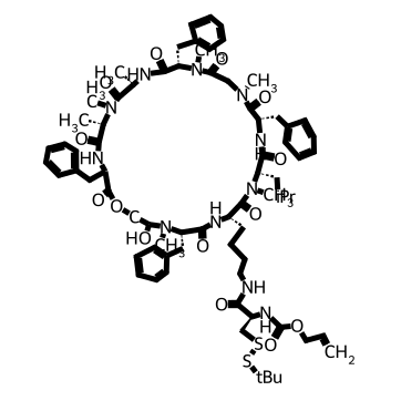 C=CCOC(=O)N[C@@H](CSSC(C)(C)C)C(=O)NCCCC[C@@H]1NC(=O)[C@H](Cc2ccccc2)N(C)C(O)COC(=O)C(Cc2ccccc2)NC(=O)[C@H](C)N(C)C(=O)[C@H](C)NC(=O)[C@H](Cc2ccccc2)N(C)C(=O)CN(C)C(=O)[C@H](Cc2ccccc2)NC(=O)[C@H](CC(C)C)N(C)C1=O